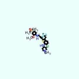 COc1cc(P(C)(C)=O)ccc1NCC#Cc1sc2c(N[C@@H]3CCN(C)C[C@@H]3Cl)cccc2c1CC(F)(F)F